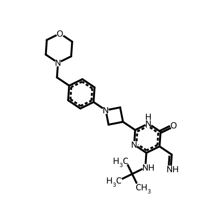 CC(C)(C)Nc1nc(C2CN(c3ccc(CN4CCOCC4)cc3)C2)[nH]c(=O)c1C=N